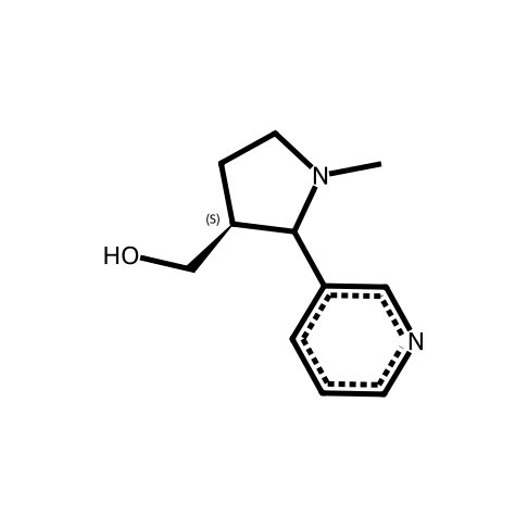 CN1CC[C@H](CO)C1c1cccnc1